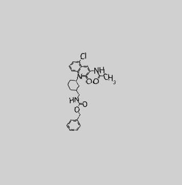 CC(=O)Nc1cc2c(Cl)cccc2n(C2CCCC(CNC(=O)OCc3ccccc3)C2)c1=O